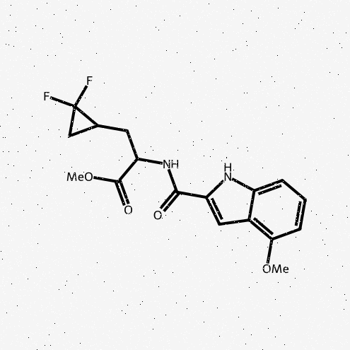 COC(=O)C(CC1CC1(F)F)NC(=O)c1cc2c(OC)cccc2[nH]1